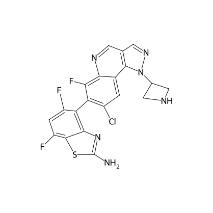 Nc1nc2c(-c3c(Cl)cc4c(ncc5cnn(C6CNC6)c54)c3F)c(F)cc(F)c2s1